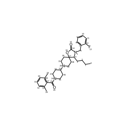 CCCCC1N(Cc2ccccc2F)C(=O)OC12CCN(C1CCN(C(=O)c3c(C)cccc3C)CC1)CC2